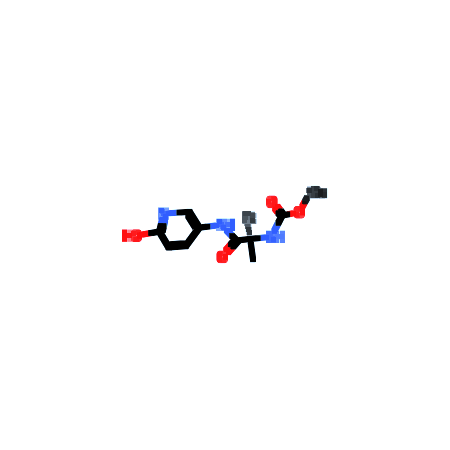 CC[C@@](C)(NC(=O)OC(C)(C)C)C(=O)Nc1ccc(O)nc1